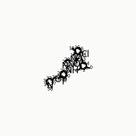 Cc1cc(C)c(OC(=O)N(Cc2cc(Cl)ccc2C)c2ccnc(Nc3ccc(OCC4CCCN(C)C4)c(F)c3)n2)c(C)c1